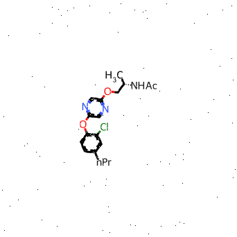 CCCc1ccc(Oc2cnc(OC[C@H](C)NC(C)=O)cn2)c(Cl)c1